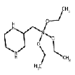 CCO[Si](CC1CNCCN1)(OCC)OCC